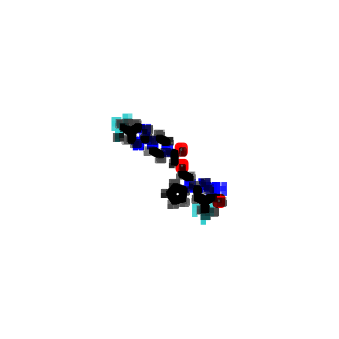 O=C(COCCN(c1cc(C(F)(F)F)c(=O)[nH]n1)C1CCCC1)N1CCN(c2ncc(C(F)(F)F)cn2)CC1